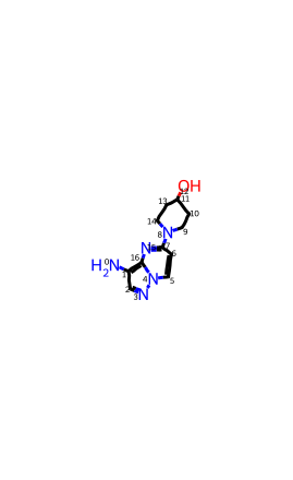 Nc1cnn2ccc(N3CCC(O)CC3)nc12